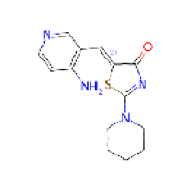 Nc1ccncc1/C=C1\SC(N2CCCCC2)=NC1=O